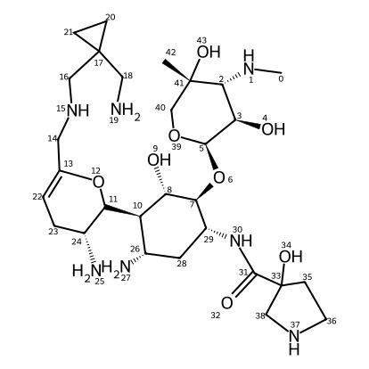 CN[C@@H]1[C@@H](O)[C@@H](O[C@@H]2[C@@H](O)[C@H](C3OC(CNCC4(CN)CC4)=CC[C@H]3N)[C@@H](N)C[C@H]2NC(=O)C2(O)CCNC2)OC[C@]1(C)O